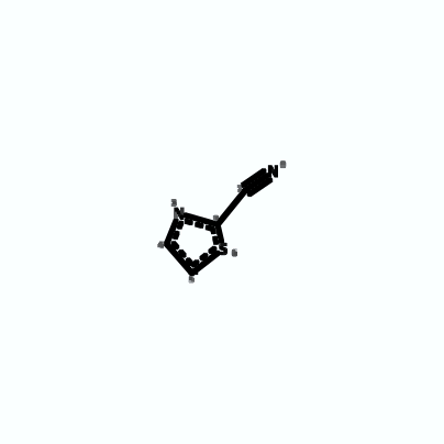 N#Cc1nc[c]s1